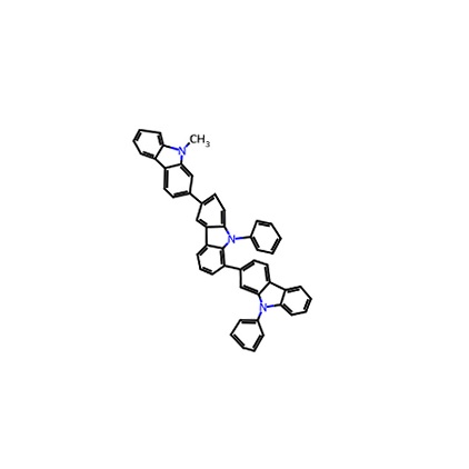 Cn1c2ccccc2c2ccc(-c3ccc4c(c3)c3cccc(-c5ccc6c7ccccc7n(-c7ccccc7)c6c5)c3n4-c3ccccc3)cc21